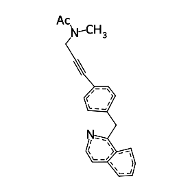 CC(=O)N(C)CC#Cc1ccc(Cc2nccc3ccccc23)cc1